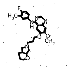 COc1cc2ncnc(Nc3ccc(F)c(C)c3)c2cc1OCCCN1CC2CCCOC2C1